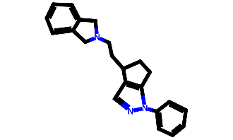 c1ccc(-n2ncc3c2CCC3CCN2Cc3ccccc3C2)cc1